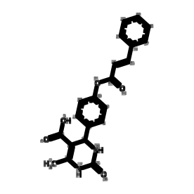 CC1=C(C(=O)O)C(c2ccc(OC(=O)C=Cc3ccccc3)cc2)NC(=O)N1